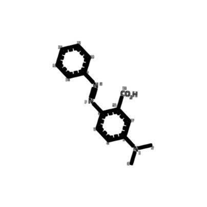 CN(C)c1ccc(N=Nc2ccccc2)c(C(=O)O)c1